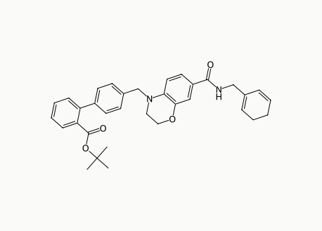 CC(C)(C)OC(=O)c1ccccc1-c1ccc(CN2CCOc3cc(C(=O)NCC4=CCCC=C4)ccc32)cc1